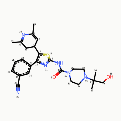 CC1=CC(c2sc(NC(=O)N3CCN(C(C)(C)CO)CC3)nc2-c2cccc(C#N)c2)CC(C)=N1